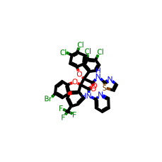 O=C(Nc1ccccn1)C(Oc1ccc(Br)cc1)(c1ccc(C(F)(F)F)cc1)C(Oc1ccc(Cl)c(Cl)c1)(C(=O)Nc1nccs1)c1ccc(Cl)c(Cl)c1